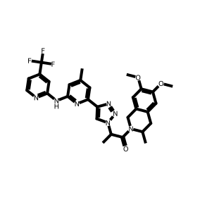 COc1cc2c(cc1OC)CN(C(=O)C(C)n1cc(-c3cc(C)cc(Nc4cc(C(F)(F)F)ccn4)n3)nn1)C(C)C2